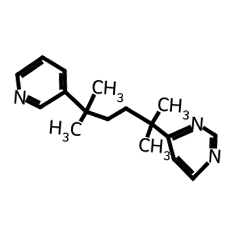 CC(C)(CCC(C)(C)c1ccncn1)c1cccnc1